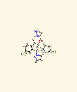 O=C(C(Cn1cccn1)c1ccc(Cl)cc1)C(Cn1cccn1)c1ccc(Cl)cc1